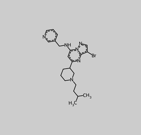 CC(C)CCN1CCCC(c2cc(NCc3cccnc3)n3ncc(Br)c3n2)C1